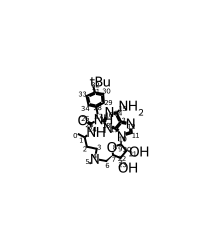 CC(CCN(C)C[C@H]1O[C@@H](n2cnc3c(N)ncnc32)[C@H](O)[C@@H]1O)NC(=O)Nc1ccc(C(C)(C)C)cc1